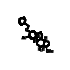 CC(=O)O[C@H]1CC[C@H]2[C@@H]3CCc4cc(OCc5ccccc5)c(C(C)=O)cc4[C@H]3CC[C@]12C